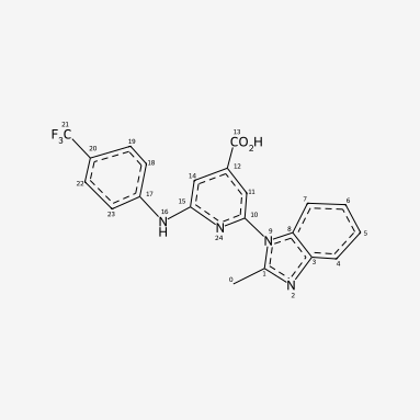 Cc1nc2ccccc2n1-c1cc(C(=O)O)cc(Nc2ccc(C(F)(F)F)cc2)n1